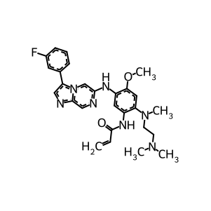 C=CC(=O)Nc1cc(Nc2cn3c(-c4cccc(F)c4)cnc3cn2)c(OC)cc1N(C)CCN(C)C